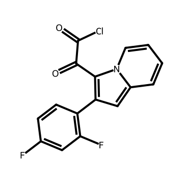 O=C(Cl)C(=O)c1c(-c2ccc(F)cc2F)cc2ccccn12